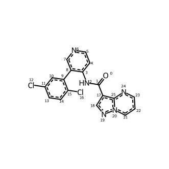 O=C(Nc1ccncc1-c1cc(Cl)ccc1Cl)c1cnn2cccnc12